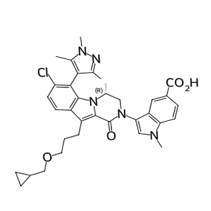 Cc1nn(C)c(C)c1-c1c(Cl)ccc2c(CCCOCC3CC3)c3n(c12)[C@H](C)CN(c1cn(C)c2ccc(C(=O)O)cc12)C3=O